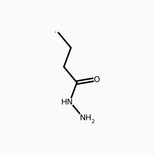 [CH2]CCC(=O)NN